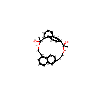 CC1(O)OCCc2ccc3c(cccc3c2)COC(C)(O)c2cccc3cc1ccc23